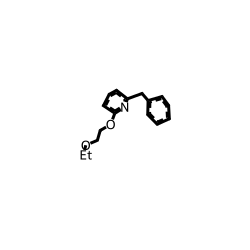 CCOCCOc1cccc(Cc2ccccc2)n1